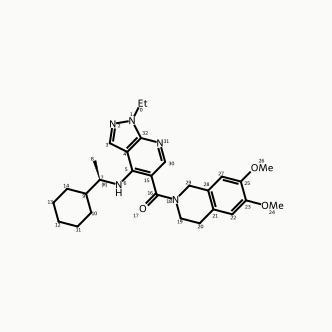 CCn1ncc2c(N[C@H](C)C3CCCCC3)c(C(=O)N3CCc4cc(OC)c(OC)cc4C3)cnc21